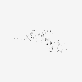 COc1nn(-c2ccc(NC(=O)NC(=O)c3ccc(F)cc3Cl)c(OC)c2)c(=O)o1